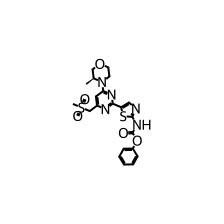 C[C@H]1COCCN1c1cc(CS(C)(=O)=O)nc(-c2cnc(NC(=O)Oc3ccccc3)s2)n1